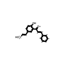 O=C(O)/C=C/c1ccc(O)c(C(=O)/C=C/c2ccccc2)c1